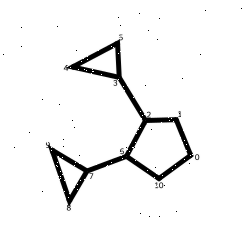 C1C[C](C2CC2)C(C2CC2)C1